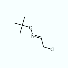 CC(C)(C)ON=CCCl